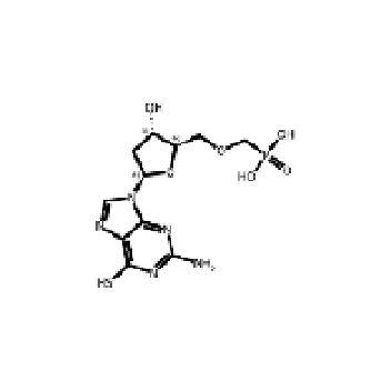 Nc1nc(S)c2ncn([C@H]3C[C@H](O)[C@@H](COCP(=O)(O)O)O3)c2n1